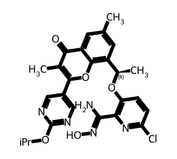 Cc1cc([C@@H](C)Oc2ccc(Cl)nc2C(N)=NO)c2oc(-c3cnc(OC(C)C)nc3)c(C)c(=O)c2c1